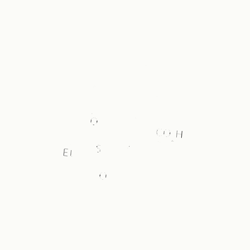 CCS(=O)(=O)CC1(C(=O)O)CCCCC1